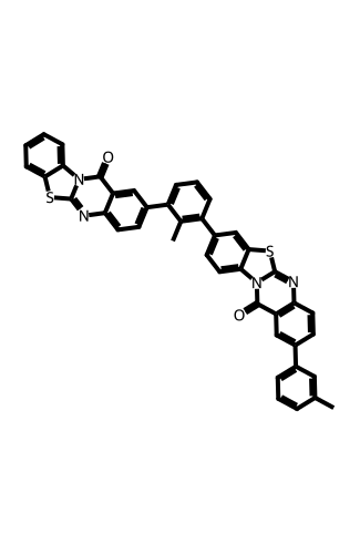 Cc1cccc(-c2ccc3nc4sc5cc(-c6cccc(-c7ccc8nc9sc%10ccccc%10n9c(=O)c8c7)c6C)ccc5n4c(=O)c3c2)c1